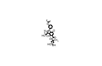 CC1(NC(=O)c2cc(Cl)c3c(c2)c(C(C)(C)O)nn3-c2cccc(OC(F)F)c2)CS(O)(O)C1